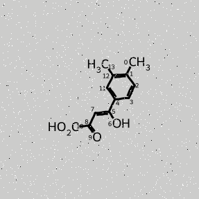 Cc1ccc(C(O)=CC(=O)C(=O)O)cc1C